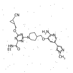 CCNC(=O)c1nc(OC[C@H]2CC2C#N)nc(N2CCC(COc3cc(-c4cnn(C)c4)cnc3N)CC2)n1